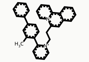 Cc1cc(-c2ccccc2)ccc1-c1cccc[n+]1CCc1cc2ccccc2c2cccc[n+]12